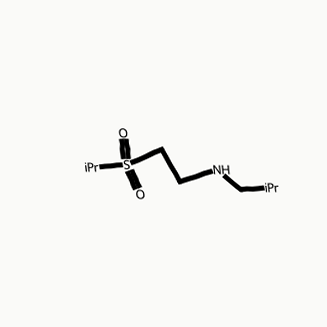 CC(C)CNCCS(=O)(=O)C(C)C